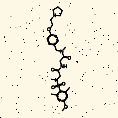 COc1cc(C)c(S(=O)(=O)N(C)CC(=O)NCC(=O)N(C)Cc2ccc(OCCN3CCCC3)cc2)c(C)c1